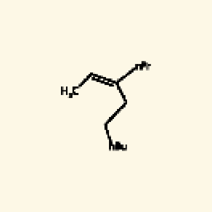 CC=C(CCC)CCCCCC